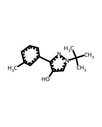 Cc1cccc(-c2nn(C(C)(C)C)cc2O)c1